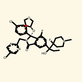 CCC(O)(c1cc(F)c2c(c1)C(=O)N(Cc1ncc(Cl)cn1)[C@@]2(O[C@H]1CCOC1)c1ccc(Cl)cc1)C1(F)CCN(C)CC1